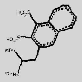 CCCCCCC(CCCC)Cc1cc2ccccc2c(S(=O)(=O)O)c1S(=O)(=O)O